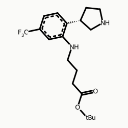 CC(C)(C)OC(=O)CCCNc1cc(C(F)(F)F)ccc1[C@@H]1CCNC1